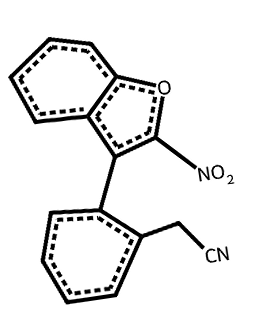 N#CCc1ccccc1-c1c([N+](=O)[O-])oc2ccccc12